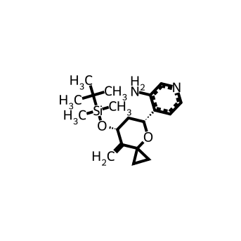 C=C1[C@H](O[Si](C)(C)C(C)(C)C)C[C@H](c2ccncc2N)OC12CC2